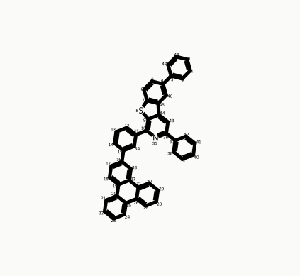 c1ccc(-c2ccc3sc4c(-c5cccc(-c6ccc7c8ccccc8c8ccccc8c7c6)c5)nc(-c5ccccc5)cc4c3c2)cc1